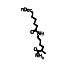 CCCCCCCCCCCCCCCC(=O)NCCCCC(C)C(N)=O